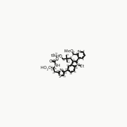 CCn1c(-c2cccnc2COC)c(CC(C)(C)CO)c2cc(-c3csc(C[C@H](NC(=O)OC(C)(C)C)C(=O)O)n3)ccc21